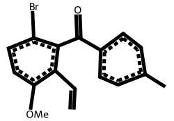 C=Cc1c(OC)ccc(Br)c1C(=O)c1ccc(C)cc1